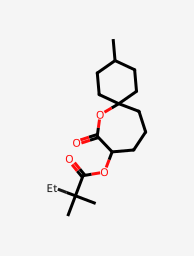 CCC(C)(C)C(=O)OC1CCCC2(CCC(C)CC2)OC1=O